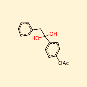 CC(=O)Oc1ccc(C(O)(O)Cc2ccccc2)cc1